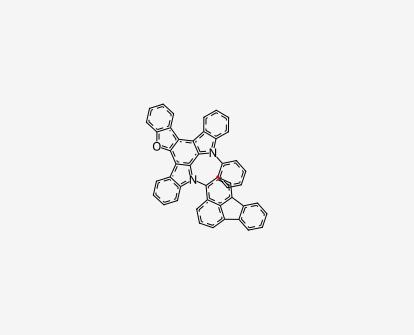 c1ccc(-n2c3ccccc3c3c4c5ccccc5oc4c4c5ccccc5n(-c5ccc6c7c(cccc57)-c5ccccc5-6)c4c32)cc1